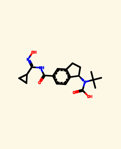 CC(C)(C)N(C(=O)O)[C@@H]1CCc2cc(C(=O)N/C(=N\O)C3CC3)ccc21